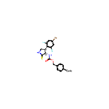 COc1ccc(COC(=O)N[C@@H]2C(=S)NC[C@H]2c2c(F)cc(Br)cc2F)cc1